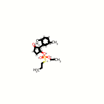 CCCSP(=O)(OCC)OC1=C(c2cc(C)ccc2C)C(=O)CC1